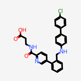 O=C(O)CCNC(=O)c1ccc(-c2ccccc2CNc2ccc(-c3ccc(Cl)cc3)cc2)cn1